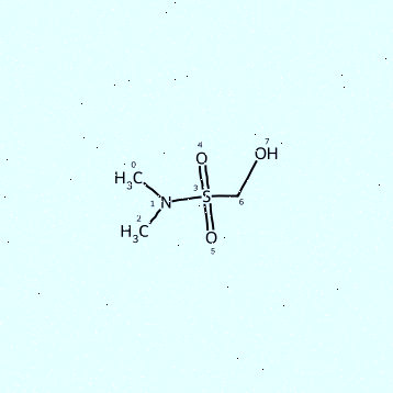 CN(C)S(=O)(=O)CO